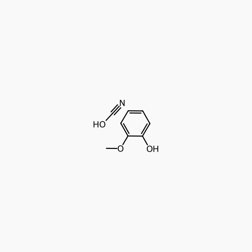 COc1ccccc1O.N#CO